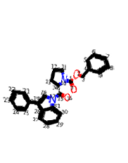 O=C(OCc1ccccc1)N1CCC[C@H]1C(=O)n1cc(-c2ccccc2)c2ccccc21